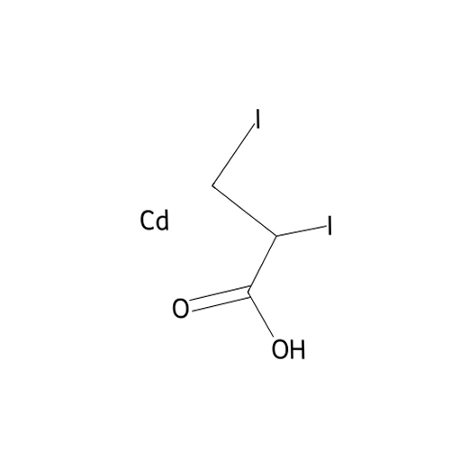 O=C(O)C(I)CI.[Cd]